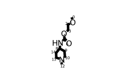 COCCOC(=O)NC1CCN(C)CC1